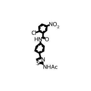 CC(=O)Nc1nc(-c2ccc(NC(=O)c3cc([N+](=O)[O-])ccc3Cl)cc2)cs1